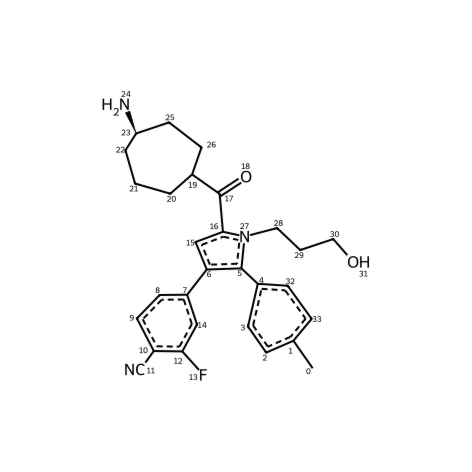 Cc1ccc(-c2c(-c3ccc(C#N)c(F)c3)cc(C(=O)C3CCC[C@@H](N)CC3)n2CCCO)cc1